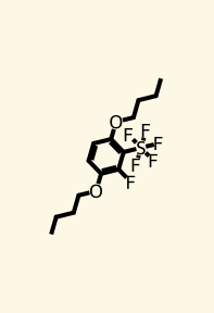 CCCCOc1ccc(OCCCC)c(S(F)(F)(F)(F)F)c1F